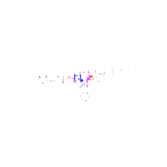 CNC1CCCC[C@@H]1Oc1cc(-c2c(C)cccc2C)nc(NS(=O)(=O)c2cccc(C=O)c2)n1